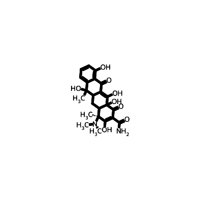 CN(C)[C@]1(C)C(O)=C(C(N)=O)C(=O)C2(O)C(O)=C3C(=O)c4c(O)cccc4C(C)(O)C3CC21